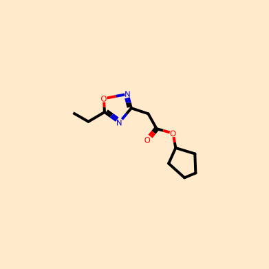 CCc1nc(CC(=O)OC2CCCC2)no1